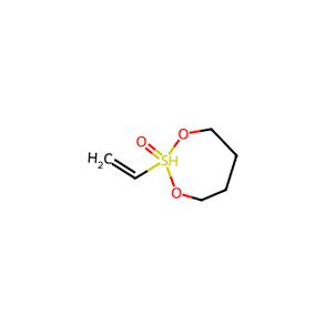 C=C[SH]1(=O)OCCCCO1